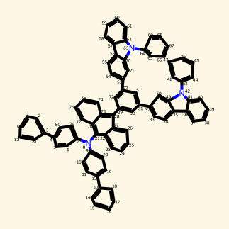 c1ccc(-c2ccc(N(c3ccc(-c4ccccc4)cc3)c3c4ccccc4c(-c4cc(-c5ccc6c7ccccc7n(-c7ccccc7)c6c5)cc(-c5ccc6c7ccccc7n(-c7ccccc7)c6c5)c4)c4ccccc34)cc2)cc1